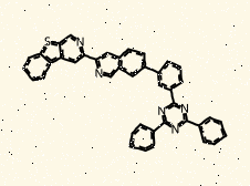 c1ccc(-c2nc(-c3ccccc3)nc(-c3cccc(-c4ccc5cc(-c6cc7c(cn6)sc6ccccc67)ncc5c4)c3)n2)cc1